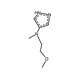 COCCN(C)c1cn[nH]c1